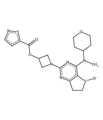 CN(c1nc(N2CC(OC(=O)c3ccns3)C2)nc2c1[S+]([O-])CC2)C1CCOCC1